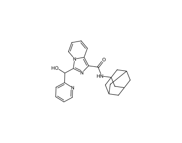 O=C(NC12CC3CC(CC(C3)C1)C2)c1nc(C(O)c2ccccn2)n2ccccc12